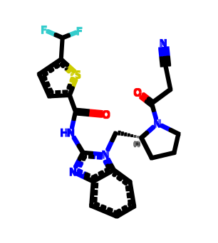 N#CCC(=O)N1CCC[C@@H]1Cn1c(NC(=O)c2ccc(C(F)F)s2)nc2ccccc21